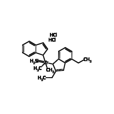 CCC1=Cc2c(CC)cccc2[CH]1[Zr]([CH3])([CH3])(=[SiH2])[CH]1C=Cc2ccccc21.Cl.Cl